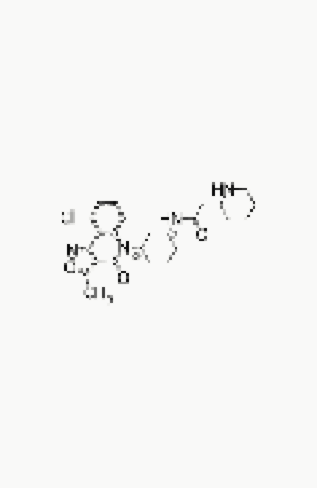 Cc1onc2c1c(=O)n([C@H]1CCC[C@@H](NC(=O)CC3CCCCN3)C1)c1cccc(Cl)c21